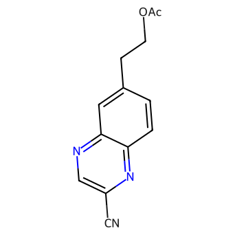 CC(=O)OCCc1ccc2nc(C#N)cnc2c1